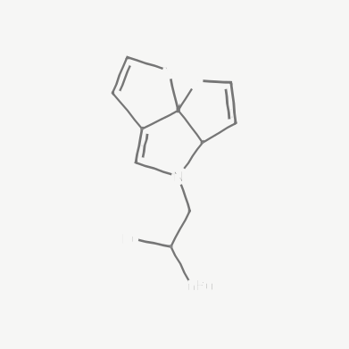 CCCCC(CC)CN1C=C2C=CSC23SC=CC13